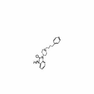 O=c1[nH]c2ccccc2n1C1CCN(CCCCc2ccccc2)CC1